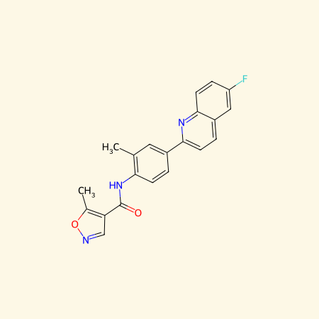 Cc1cc(-c2ccc3cc(F)ccc3n2)ccc1NC(=O)c1cnoc1C